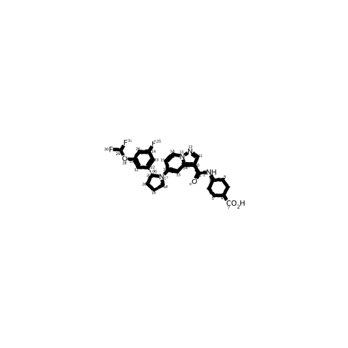 O=C(NC1CCC(C(=O)O)CC1)c1cnn2ccc(N3CCC[C@@H]3c3cc(F)cc(OC(F)F)c3)cc12